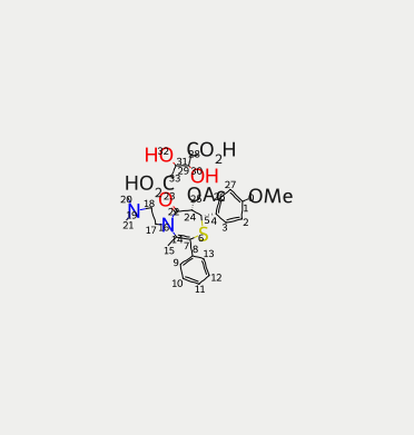 COc1ccc([C@@H]2SC(c3ccccc3)=C(C)N(CCN(C)C)C(=O)[C@@H]2OC(C)=O)cc1.O=C(O)C(O)C(O)C(=O)O